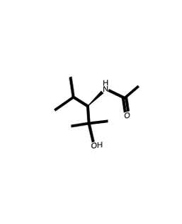 CC(=O)N[C@H](C(C)C)C(C)(C)O